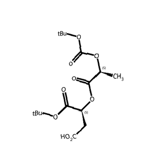 C[C@H](OC(=O)OC(C)(C)C)C(=O)O[C@@H](CC(=O)O)C(=O)OC(C)(C)C